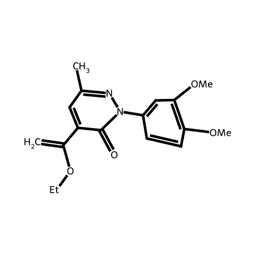 C=C(OCC)c1cc(C)nn(-c2ccc(OC)c(OC)c2)c1=O